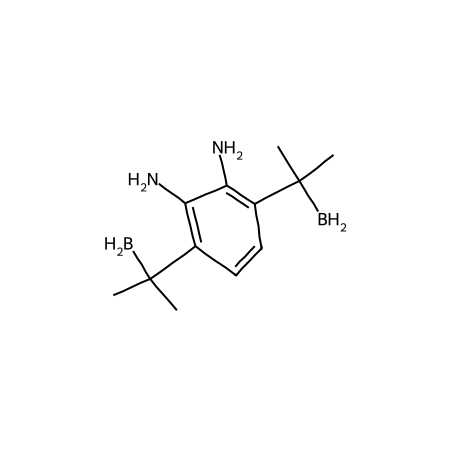 BC(C)(C)c1ccc(C(B)(C)C)c(N)c1N